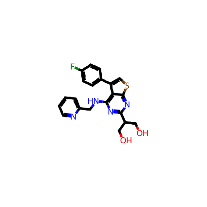 OCC(CO)c1nc(NCc2ccccn2)c2c(-c3ccc(F)cc3)csc2n1